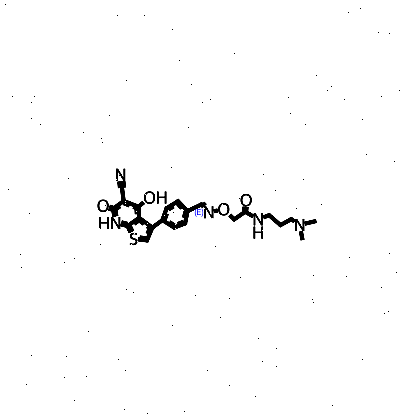 CN(C)CCCNC(=O)CO/N=C/c1ccc(-c2csc3[nH]c(=O)c(C#N)c(O)c23)cc1